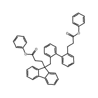 O=C(CCc1ccccc1-c1ccccc1CC1(CCC(=O)Oc2ccccc2)c2ccccc2-c2ccccc21)Oc1ccccc1